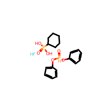 F.O=P(O)(O)C1CCCCC1.O=[PH](Oc1ccccc1)Oc1ccccc1